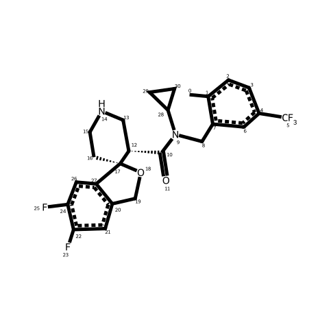 Cc1ccc(C(F)(F)F)cc1CN(C(=O)[C@H]1CNCC[C@@]12OCc1cc(F)c(F)cc12)C1CC1